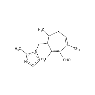 CC1=CCC(C)C(Cn2ccnc2C)C(C)=C1C=O